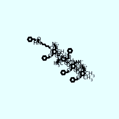 C[C@@H]1C(COCc2ccccc2)O[C@H](OP(C)(=O)O[C@@H]2C(COCc3ccccc3)O[C@H](OP(C)(=O)O[C@@H]3C(COCc4ccccc4)O[C@H](OP(C)(=O)O[C@@H]4C(COCc5ccccc5)O[C@H](OCCCCCCNC(=O)OCc5ccccc5)C(N=[N+]=[N-])[C@H]4C)C(N=[N+]=[N-])[C@H]3C)C(N=[N+]=[N-])[C@H]2C)C(N=[N+]=[N-])[C@H]1C